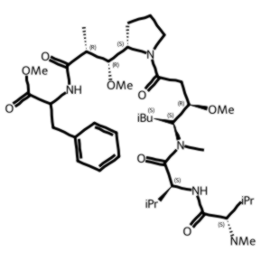 CC[C@H](C)[C@@H]([C@@H](CC(=O)N1CCC[C@H]1[C@H](OC)[C@@H](C)C(=O)NC(Cc1ccccc1)C(=O)OC)OC)N(C)C(=O)[C@@H](NC(=O)[C@@H](NC)C(C)C)C(C)C